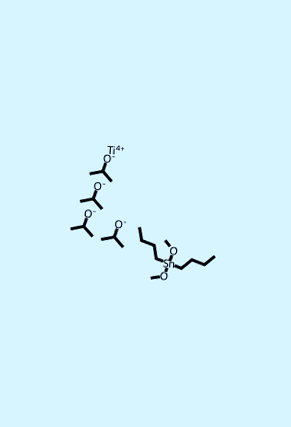 CC(C)[O-].CC(C)[O-].CC(C)[O-].CC(C)[O-].CCC[CH2][Sn]([CH2]CCC)([O]C)[O]C.[Ti+4]